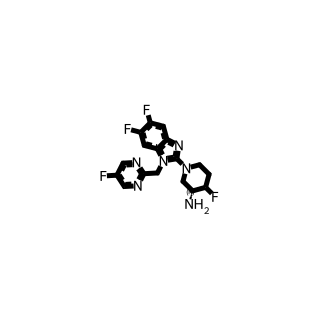 N[C@@H]1CN(c2nc3cc(F)c(F)cc3n2Cc2ncc(F)cn2)CCC1F